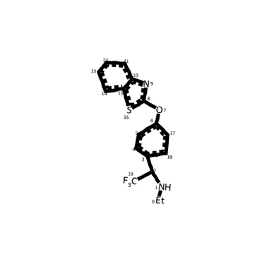 CCNC(c1ccc(Oc2nc3ccccc3s2)cc1)C(F)(F)F